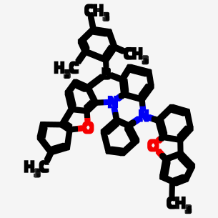 Cc1cc(C)c(B2c3cccc4c3N(c3ccccc3N4c3cccc4c3oc3cc(C)ccc34)c3c2ccc2c3oc3cc(C)ccc32)c(C)c1